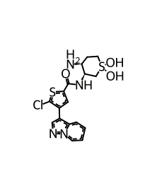 N[C@H]1CCS(O)(O)C[C@H]1NC(=O)c1cc(-c2cnn3ccccc23)c(Cl)s1